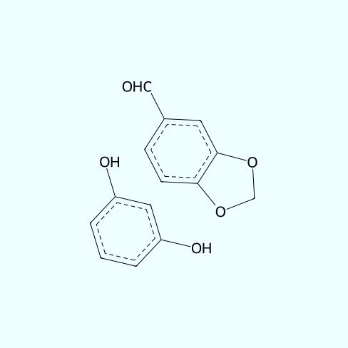 O=Cc1ccc2c(c1)OCO2.Oc1cccc(O)c1